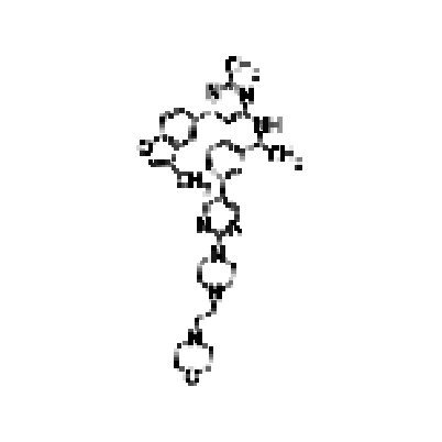 Cc1nc(NC(C)c2cccc(-c3cnc(N4CCN(CCN5CCOCC5)CC4)nc3)c2)cc(-c2ccc3occ(C)c3c2)n1